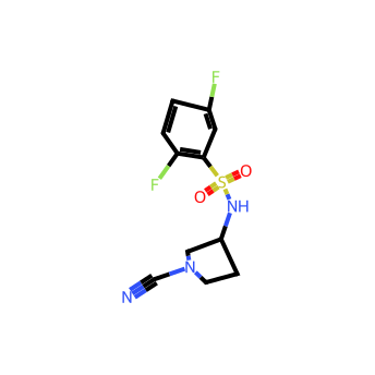 N#CN1CCC(NS(=O)(=O)c2cc(F)ccc2F)C1